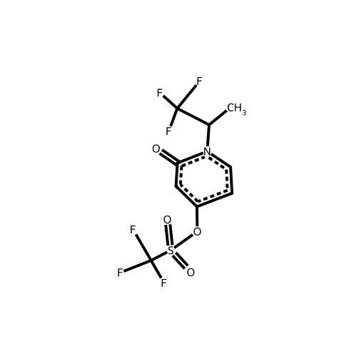 CC(n1ccc(OS(=O)(=O)C(F)(F)F)cc1=O)C(F)(F)F